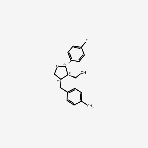 Cc1ccc(C[C@H]2CO[C@H](c3ccc(F)cc3)[C@H]2CO)cc1